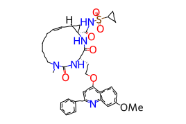 COc1ccc2c(OCC[C@@H]3NC(=O)N(C)CCCCC=C[C@@H]4C[C@@]4(C(=O)NS(=O)(=O)C4CC4)NC3=O)cc(-c3ccccc3)nc2c1